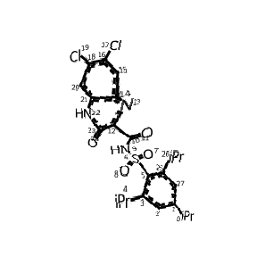 CC(C)c1cc(C(C)C)c(S(=O)(=O)NC(=O)c2nc3cc(Cl)c(Cl)cc3[nH]c2=O)c(C(C)C)c1